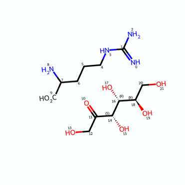 N=C(N)NCCCC(N)C(=O)O.O=C(CO)[C@@H](O)[C@H](O)[C@H](O)CO